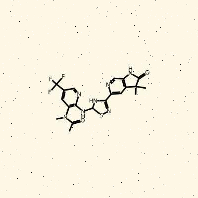 CC(=O)N(C)c1cc(C(F)(F)F)cnc1NC1NC(c2cc3c(cn2)NC(=O)C3(C)C)=NS1